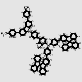 FC(F)(F)c1ccc(-c2ccc3c(c2)c2cc(-c4ccc(C(F)(F)F)cc4)ccc2n3-c2ccc(-c3ccc(N(c4ccc(-c5ccc6c(c5)C5(c7ccccc7-c7ccccc75)c5ccccc5-6)cc4)c4ccc(-c5ccc6c(c5)C5(c7ccccc7-c7ccccc75)c5ccccc5-6)cc4)c4nsnc34)cc2)cc1